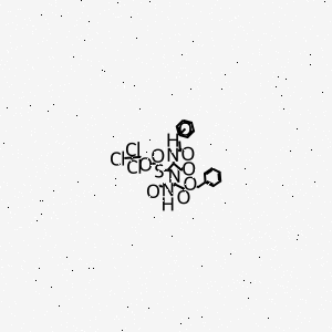 CC(=O)NC1C(=O)N(C(NC=O)C(=O)OCc2ccccc2)C1SC(=O)OCC(Cl)(Cl)Cl.c1cc2cc(c1)O2